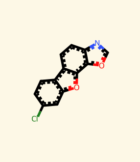 Clc1ccc2c(c1)oc1c2ccc2ncoc21